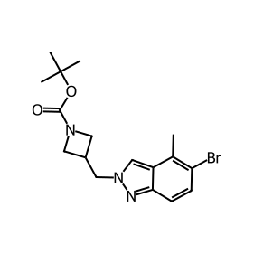 Cc1c(Br)ccc2nn(CC3CN(C(=O)OC(C)(C)C)C3)cc12